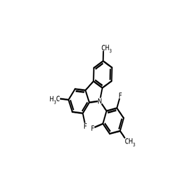 Cc1cc(F)c(-n2c3ccc(C)cc3c3cc(C)cc(F)c32)c(F)c1